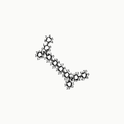 C1=CC(c2ccccc2)CC=C1N(c1ccccc1)c1ccc(-c2ccc(-c3ccc(-c4ccc(N(c5ccccc5)c5ccc(-c6ccccc6)cc5)cc4)cc3)cc2)cc1